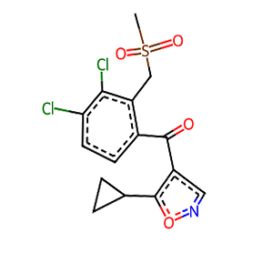 CS(=O)(=O)Cc1c(C(=O)c2cnoc2C2CC2)ccc(Cl)c1Cl